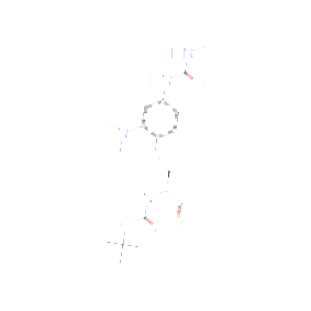 CNC(=O)Nc1ccc(OC[C@@H](C=O)NC(=O)OC(C)(C)C)c(N(C)C)c1